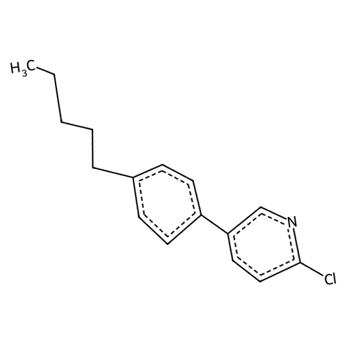 CCCCCc1ccc(-c2ccc(Cl)nc2)cc1